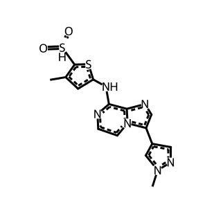 Cc1cc(Nc2nccn3c(-c4cnn(C)c4)cnc23)sc1[SH](=O)=O